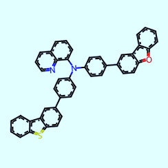 c1cnc2c(N(c3ccc(-c4ccc5oc6ccccc6c5c4)cc3)c3ccc(-c4ccc5sc6ccccc6c5c4)cc3)cccc2c1